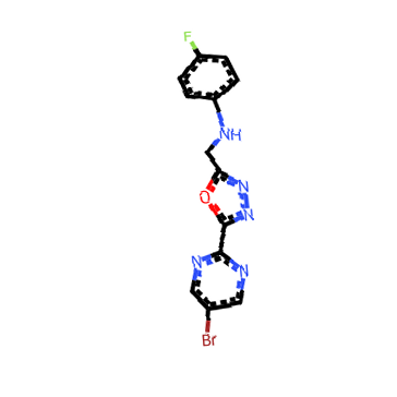 Fc1ccc(NCc2nnc(-c3ncc(Br)cn3)o2)cc1